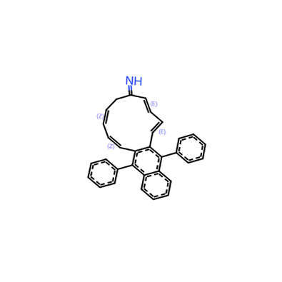 N=C1/C=C/C=C/c2c(c(-c3ccccc3)c3ccccc3c2-c2ccccc2)/C=C\C=C/C1